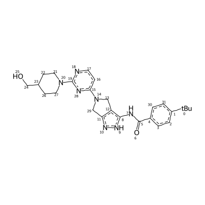 CC(C)(C)c1ccc(C(=O)Nc2[nH]nc3c2CN(c2ccnc(N4CCC(CO)CC4)n2)C3)cc1